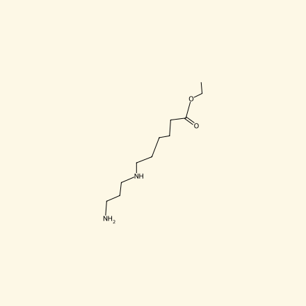 CCOC(=O)CCCCCNCCCN